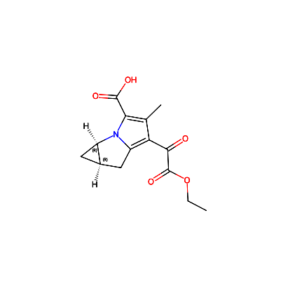 CCOC(=O)C(=O)c1c(C)c(C(=O)O)n2c1C[C@H]1C[C@H]12